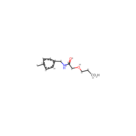 Cc1ccc(CNC(=O)COCCC(=O)O)cc1